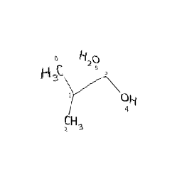 CC(C)CO.O